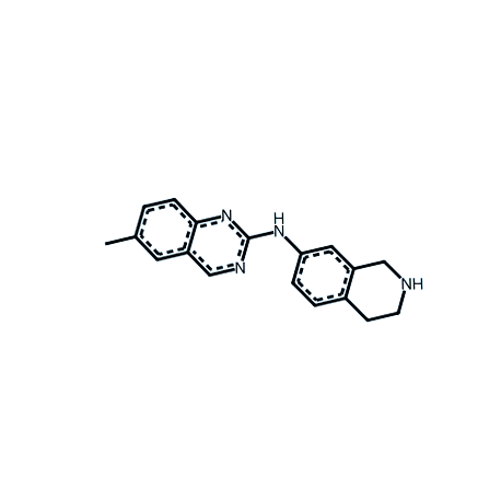 Cc1ccc2nc(Nc3ccc4c(c3)CNCC4)ncc2c1